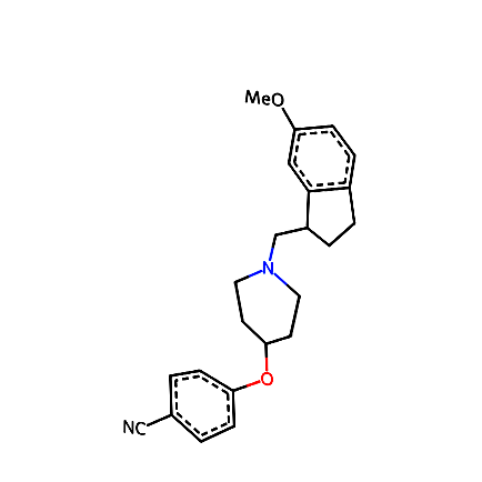 COc1ccc2c(c1)C(CN1CCC(Oc3ccc(C#N)cc3)CC1)CC2